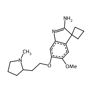 COc1cc2c(cc1OCCC1CCCN1C)N=C(N)C21CCC1